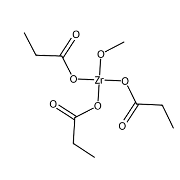 CCC(=O)[O][Zr]([O]C)([O]C(=O)CC)[O]C(=O)CC